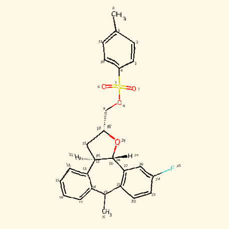 Cc1ccc(S(=O)(=O)OC[C@H]2C[C@@H]3c4ccccc4C(C)c4ccc(F)cc4[C@H]3O2)cc1